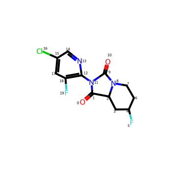 O=C1C2CC(F)CCN2C(=O)N1c1ncc(Cl)cc1F